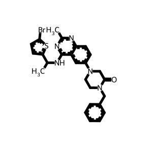 Cc1nc(NC(C)c2ccc(Br)s2)c2cc(N3CCN(Cc4ccccc4)C(=O)C3)ccc2n1